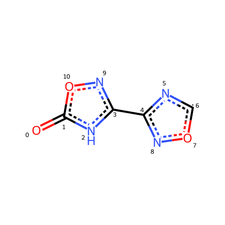 O=c1[nH]c(-c2n[c]on2)no1